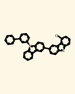 Clc1cccc2sc3ccc(-c4ccc5c(c4)c4ccccc4n5-c4cccc(-c5ccccc5)c4)cc3c12